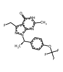 Cc1nc2c(c(CF)nn2[C@H](C)c2ccc(OC(F)(F)F)cc2)c(=O)[nH]1